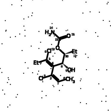 C/C=C(Cl)\C(=C(\Cl)CC)[C@@H](O)[C@@H](CC)OC(N)=O